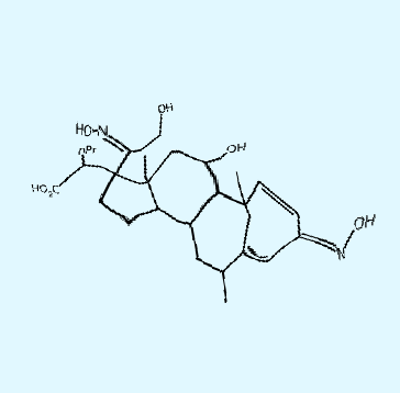 CCCC(C(=O)O)C1(/C(CO)=N\O)CCC2C3CC(C)C4=C/C(=N/O)C=CC4(C)C3C(O)CC21C